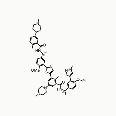 COc1ccc([C@@H](C)NC(=O)c2cc(N3CCN(C)CC3)ccc2C)cc1-c1ncc(-c2cc(N3CCN(C)CC3)cc(C(=O)N[C@H](C)c3ccc(OC(C)C)c(-c4cnn(C)c4)c3)c2C)s1